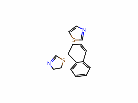 C1=Cc2ccccc2CC1.C1=NCCS1.c1cscn1